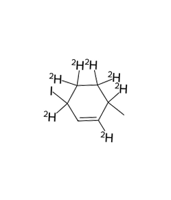 [2H]C1=CC([2H])(I)C([2H])([2H])C([2H])([2H])C1([2H])C